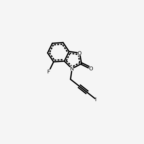 O=c1oc2cccc(F)c2n1CC#CI